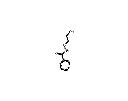 O=C(NOCCO)c1cnccn1